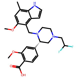 COc1cc([C@H]2CN(CC(F)F)CCN2Cc2c(OC)cc(C)c3[nH]ccc23)ccc1C(=O)O